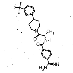 C[C@H](NC(=O)c1ccc(C(=N)N)cc1)C(=O)N1CC[C](c2cccc(C(F)(F)F)c2)CC1